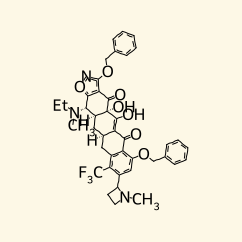 CCN(C)[C@@H]1c2onc(OCc3ccccc3)c2C(=O)[C@@]2(O)C(O)=C3C(=O)c4c(OCc5ccccc5)cc(C5CCN5C)c(C(F)(F)F)c4C[C@H]3C[C@@H]12